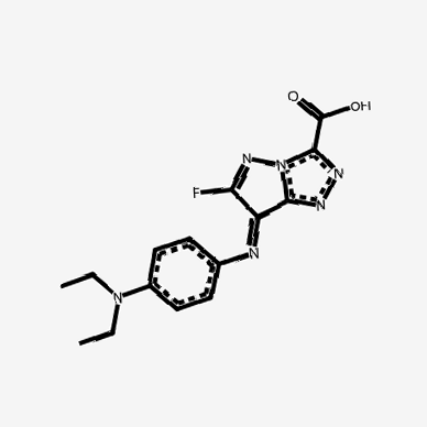 CCN(CC)c1ccc(N=C2C(F)=Nn3c(C(=O)O)nnc32)cc1